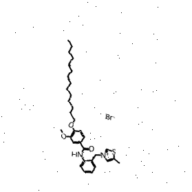 CCCCCCCCCCCCCCOc1ccc(C(=O)Nc2ccccc2C[n+]2csc(C)c2)cc1OC.[Br-]